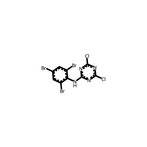 Clc1nc(Cl)nc(Nc2c(Br)cc(Br)cc2Br)n1